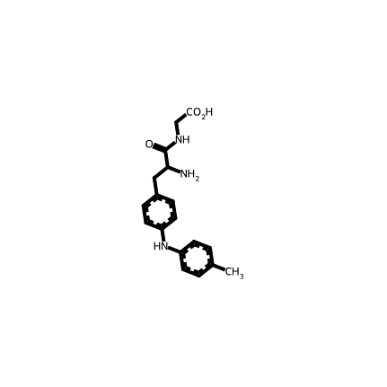 Cc1ccc(Nc2ccc(CC(N)C(=O)NCC(=O)O)cc2)cc1